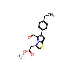 CCc1ccc(-c2cc3scc(CC(=O)OC)n3c2C=O)cc1